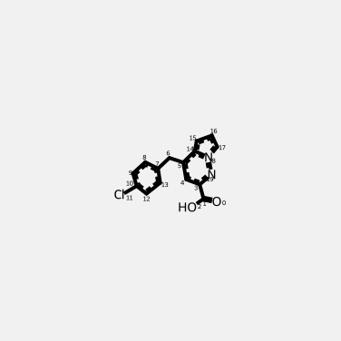 O=C(O)c1cc(Cc2ccc(Cl)cc2)c2cccn2n1